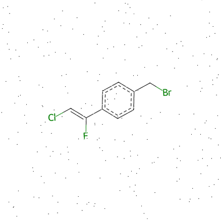 FC(=CCl)c1ccc(CBr)cc1